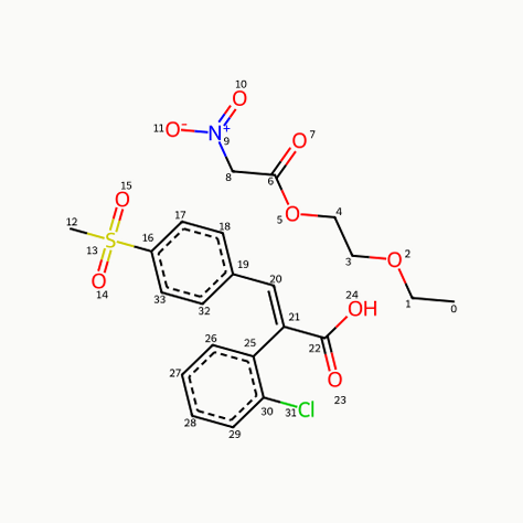 CCOCCOC(=O)C[N+](=O)[O-].CS(=O)(=O)c1ccc(/C=C(/C(=O)O)c2ccccc2Cl)cc1